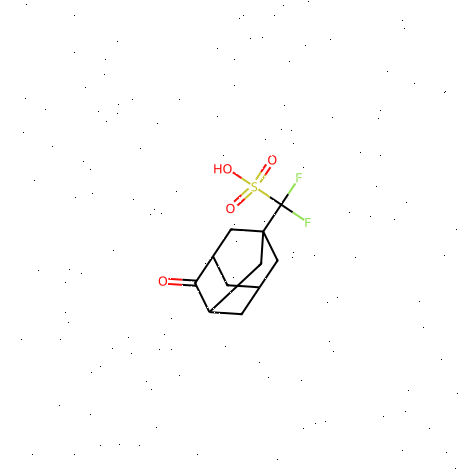 O=C1C2CC3CC1CC(C(F)(F)S(=O)(=O)O)(C3)C2